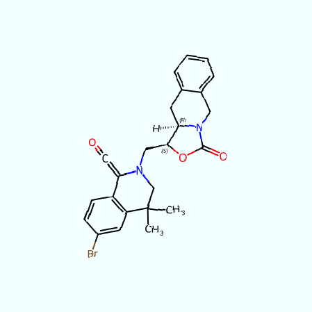 CC1(C)CN(C[C@@H]2OC(=O)N3Cc4ccccc4C[C@H]23)C(=C=O)c2ccc(Br)cc21